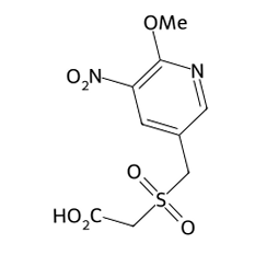 COc1ncc(CS(=O)(=O)CC(=O)O)cc1[N+](=O)[O-]